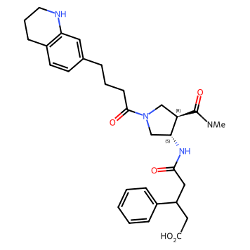 CNC(=O)[C@@H]1CN(C(=O)CCCc2ccc3c(c2)NCCC3)C[C@H]1NC(=O)CC(CC(=O)O)c1ccccc1